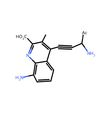 CC(=O)C(N)C#Cc1c(C)c(C(=O)O)nc2c(N)cccc12